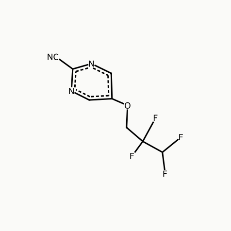 N#Cc1ncc(OCC(F)(F)C(F)F)cn1